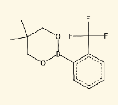 CC1(C)COB(c2ccccc2C(F)(F)F)OC1